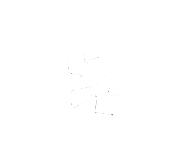 CN1CCCC1C(F)(F)C1(C(C)(C)C)CCCC1